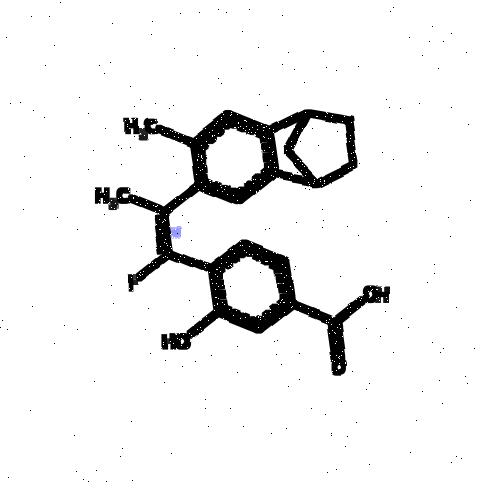 C/C(=C(\F)c1ccc(C(=O)O)cc1O)c1cc2c(cc1C)C1CCC2C1